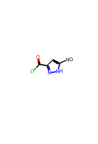 O=Nc1cc(C(=O)Cl)n[nH]1